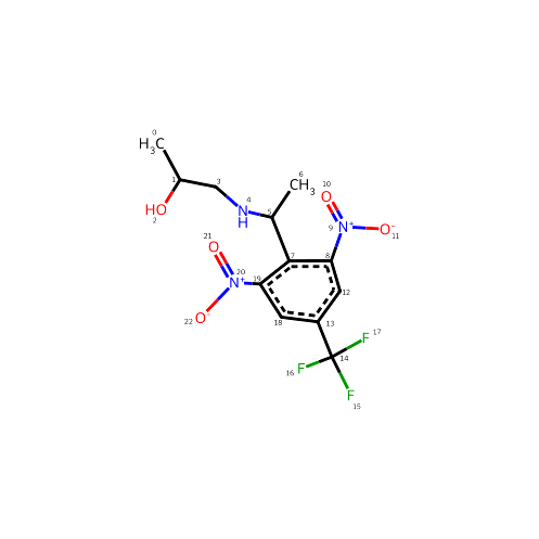 CC(O)CNC(C)c1c([N+](=O)[O-])cc(C(F)(F)F)cc1[N+](=O)[O-]